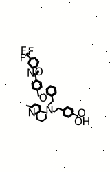 Cc1ccc2c(n1)CCCC2N(CCc1ccc(C(=O)O)cc1)CCc1ccccc1OCc1ccc(-c2nc3cc(C(F)(F)F)ccc3o2)cc1